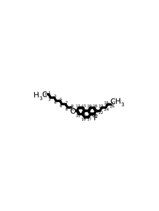 CCCCCCCCCCOc1ccc2c(ccc3c(F)c(CCCCCC)ccc32)c1